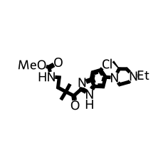 CCN1CCN(c2cc3[nH]c(C(=O)C(C)(C)CCNC(=O)OC)nc3cc2Cl)[C@@H](C)C1